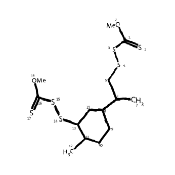 COC(=S)SSCC(C)C1CCC(C)C(SSC(=S)OC)C1